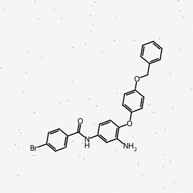 Nc1cc(NC(=O)c2ccc(Br)cc2)ccc1Oc1ccc(OCc2ccccc2)cc1